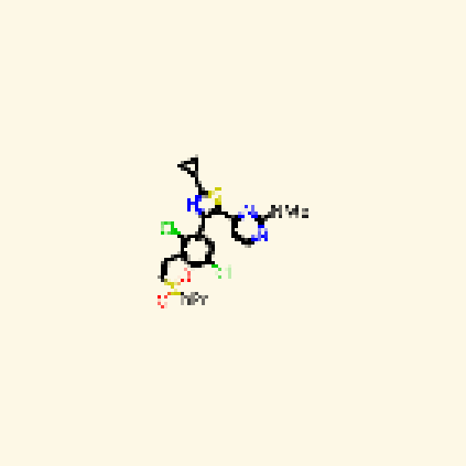 CCCS(=O)(=O)/C=C\c1cc(Cl)cc(-c2nc(C3CC3)sc2-c2ccnc(NC)n2)c1Cl